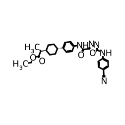 CCOC(=O)C(C)[C@H]1CC[C@H](c2ccc(NC(=O)c3nnc(Nc4ccc(C#N)cc4)o3)cc2)CC1